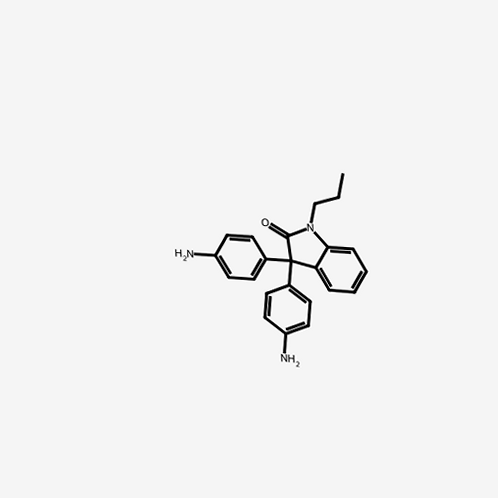 CCCN1C(=O)C(c2ccc(N)cc2)(c2ccc(N)cc2)c2ccccc21